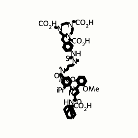 COc1cccc(OC)c1-c1cc(C(=O)NC2(C(=O)O)C3CC4CC(C3)CC2C4)nn1-c1ccc(C(=O)N(C)CCCN(C)C(=S)Nc2ccc(CC3CN(CC(=O)O)CCN(CC(=O)O)CCN3CC(=O)O)cc2)cc1C(C)C